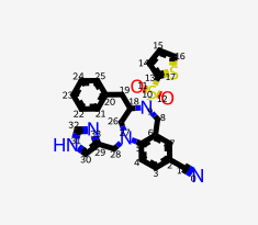 N#Cc1ccc2c(c1)CN(S(=O)(=O)c1cccs1)C(Cc1ccccc1)CN2Cc1c[nH]cn1